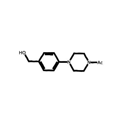 CC(=O)N1CCN(c2ccc(CO)cc2)CC1